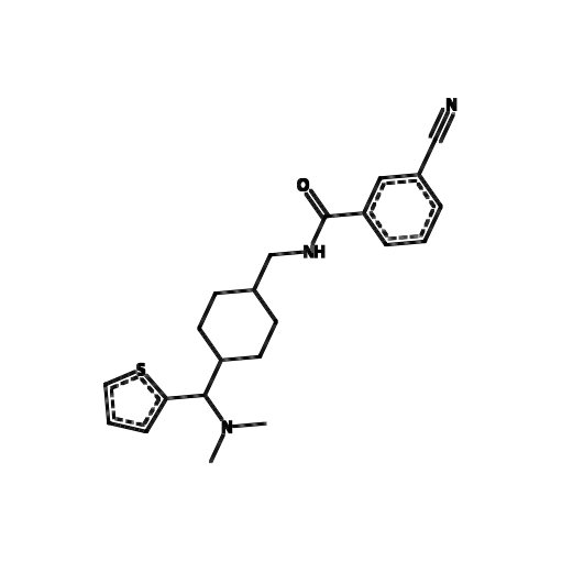 CN(C)C(c1cccs1)C1CCC(CNC(=O)c2cccc(C#N)c2)CC1